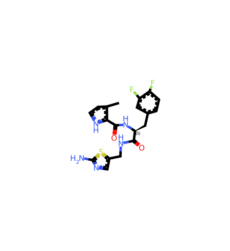 Cc1cc[nH]c1C(=O)N[C@@H](Cc1ccc(F)c(F)c1)C(=O)NCc1cnc(N)s1